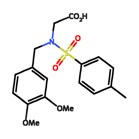 COc1ccc(CN(CC(=O)O)S(=O)(=O)c2ccc(C)cc2)cc1OC